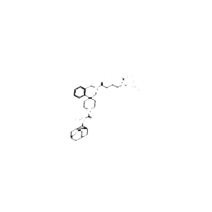 CN(C)CCCC(=O)N1Cc2ccccc2C2(CCN(C(=O)NC3C4CC5CC(C4)CC3C5)CC2)C1